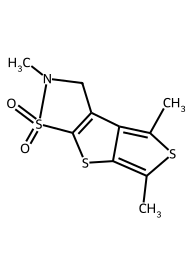 Cc1sc(C)c2c3c(sc12)S(=O)(=O)N(C)C3